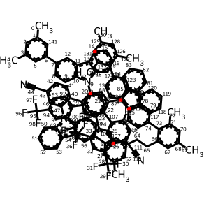 Cc1cc(C)cc(-c2ccc3c(c2)c2ccccc2n3-c2ccc(-c3ccc(C(F)(F)F)cc3C(F)(F)F)cc2-c2ccc(C#N)cc2-n2c3ccccc3c3cc(-c4cc(C)cc(CCc5cc(C)cc(C)c5-c5ccc6c(c5)c5ccccc5n6-c5ccc(-c6ccc(C(F)(F)F)cc6C(F)(F)F)cc5-c5ccc(C#N)cc5-n5c6ccccc6c6cc(-c7c(C)cc(C)cc7C)ccc65)c4)ccc32)c1